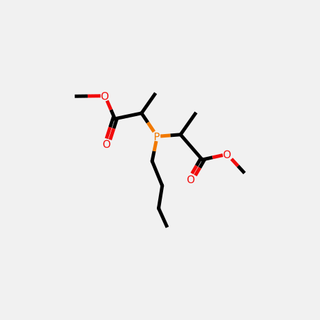 CCCCP(C(C)C(=O)OC)C(C)C(=O)OC